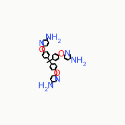 CC(c1ccc(Oc2ccc(N)cn2)cc1)(c1ccc(Oc2ccc(N)cn2)cc1)c1ccc(Oc2ccc(N)cn2)cc1